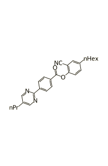 CCCCCCc1ccc(OC(=O)c2ccc(-c3ncc(CCC)cn3)cc2)c(C#N)c1